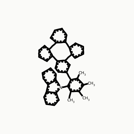 Cc1c(C)c(C)c(-n2c3ccccc3c3ccccc32)c(-c2ccc3c(c2)-c2ccccc2-c2ccccc2-c2ccccc2-3)c1C